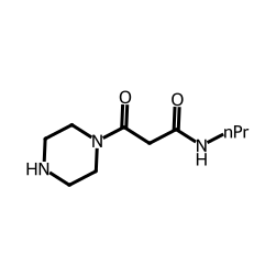 CCCNC(=O)CC(=O)N1CCNCC1